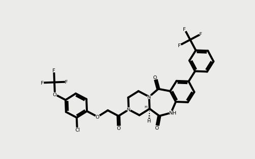 O=C1Nc2ccc(-c3cccc(C(F)(F)F)c3)cc2C(=O)N2CCN(C(=O)COc3ccc(OC(F)(F)F)cc3Cl)C[C@H]12